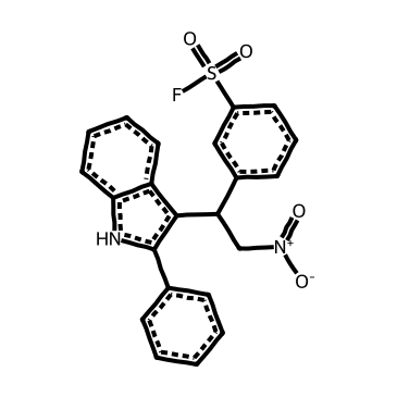 O=[N+]([O-])CC(c1cccc(S(=O)(=O)F)c1)c1c(-c2ccccc2)[nH]c2ccccc12